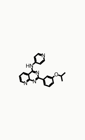 CC(C)Oc1cccc(-c2nc(Nc3ccncc3)c3cccnc3n2)c1